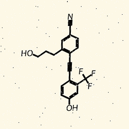 N#Cc1ccc(C#Cc2ccc(O)cc2C(F)(F)F)c(CCCO)c1